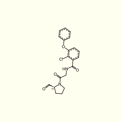 O=C[C@@H]1CCCN1C(=O)CNC(=O)c1cccc(Oc2ccccc2)c1Cl